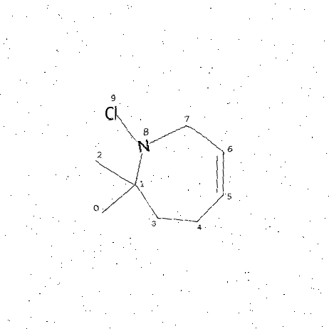 CC1(C)CCC=CCN1Cl